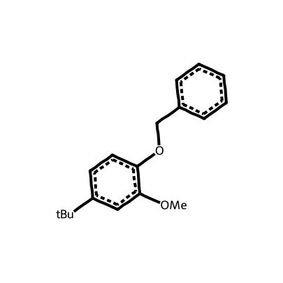 COc1cc(C(C)(C)C)ccc1OCc1ccccc1